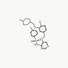 Cc1ccc(S(=O)(=O)Nc2ncncc2OCc2ccc(Cl)c(OCC3CCN(C)CC3)c2)cc1